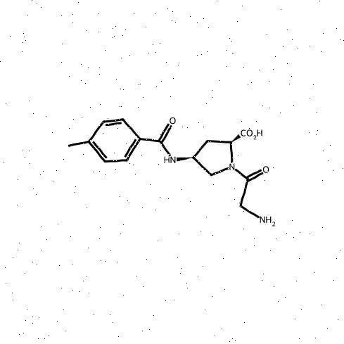 Cc1ccc(C(=O)N[C@H]2C[C@@H](C(=O)O)N(C(=O)CN)C2)cc1